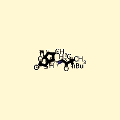 CCCCC(C)(C)C(=O)/C=C/[C@@H]1[C@H]2CC(=O)O[C@H]2C[C@H]1C